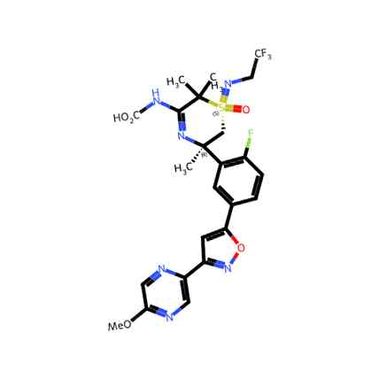 COc1cnc(-c2cc(-c3ccc(F)c([C@]4(C)C[S@@](=O)(=NCC(F)(F)F)C(C)(C)C(NC(=O)O)=N4)c3)on2)cn1